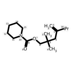 C=C(CC(C)(C)COC(=O)N1CCCCC1)C(C)C